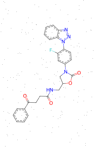 O=C(CCC(=O)c1ccccc1)NCC1CN(c2ccc(-n3nnc4ccccc43)c(F)c2)C(=O)O1